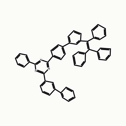 c1ccc(C(=C(c2ccccc2)c2cccc(-c3ccc(-c4nc(-c5ccccc5)nc(-c5cccc(-c6ccccc6)c5)n4)cc3)c2)c2ccccc2)cc1